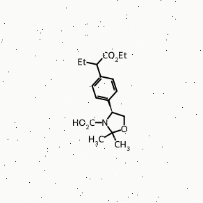 CCOC(=O)C(CC)c1ccc([C@H]2COC(C)(C)N2C(=O)O)cc1